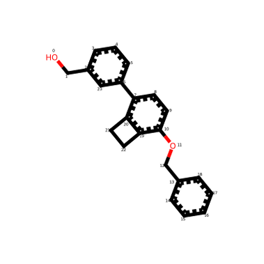 OCc1cccc(-c2ccc(OCc3ccccc3)c3c2CC3)c1